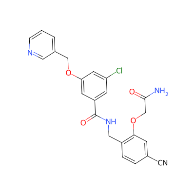 N#Cc1ccc(CNC(=O)c2cc(Cl)cc(OCc3cccnc3)c2)c(OCC(N)=O)c1